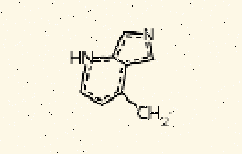 [CH2]c1cc[nH]c2cncc1-2